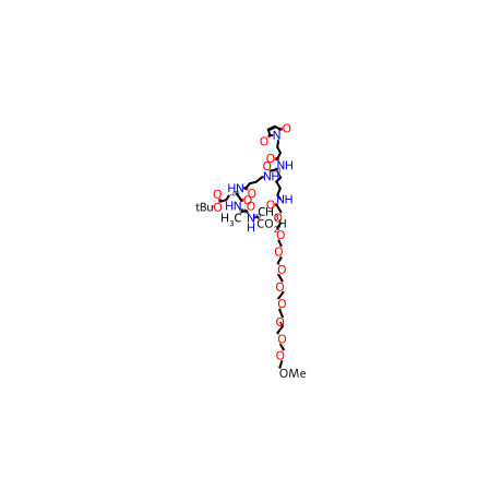 COCCOCCOCCOCCOCCOCCOCCOCCOCCOCC(=O)NCCCC[C@H](NC(=O)CCCN1C(=O)C=CC1=O)C(=O)NCCCC(=O)N[C@@H](CCC(=O)OC(C)(C)C)C(=O)N[C@@H](C)C(=O)N[C@@H](C)C(=O)O